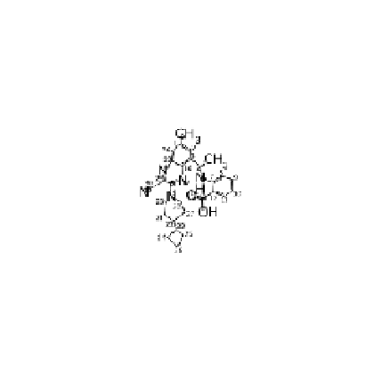 Cc1cc([C@@H](C)Nc2ccccc2C(=O)O)c2nc(N3CCC(C4CCC4)CC3)c(C#N)nc2c1